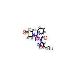 CC(C)(C)c1cc(NC(=O)[C@@H]2CCCCN2C(=O)N2CC[S+]([O-])CC2)no1